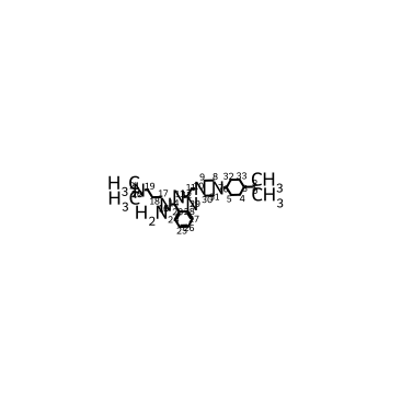 CC(C)C1CCC(N2CCN(Cc3nc(N(N)CCCN(C)C)c4ccccc4n3)CC2)CC1